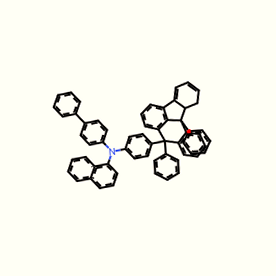 C1=CCC2C(=C1)c1cccc3c1C2(c1ccccc1)c1ccccc1C3(c1ccccc1)c1ccc(N(c2ccc(-c3ccccc3)cc2)c2cccc3ccccc23)cc1